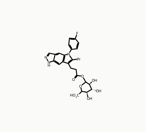 CC(C)c1c(CCC(=O)OC2OC(C(=O)O)[C@H](O)[C@@H](O)[C@@H]2O)c2cc3[nH]ncc3cc2n1-c1ccc(F)cc1